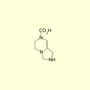 O=C(O)N1C=C2CNCN2CC1